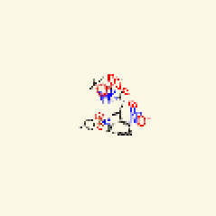 COC(=O)[C@@H](Cc1cn(S(=O)(=O)c2ccc(C)cc2)c2cccc([N+](=O)[O-])c12)NC(=O)OC(C)(C)C